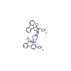 O=C(NC1CCN(CCCC2(C(=O)NCC(F)(F)F)c3ccccc3C3=CC=CCC32)CC1)c1ccccc1-c1ccc(C(F)(F)F)cc1